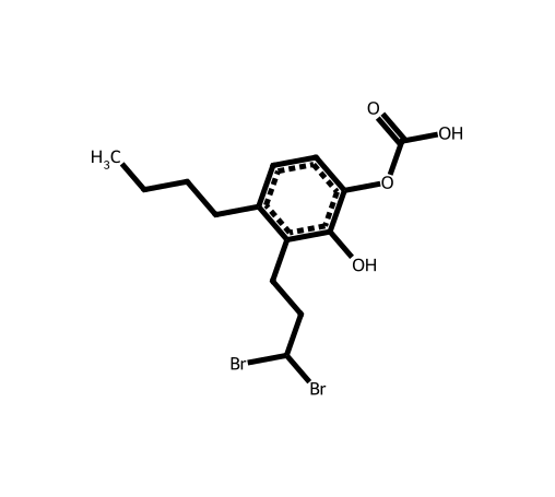 CCCCc1ccc(OC(=O)O)c(O)c1CCC(Br)Br